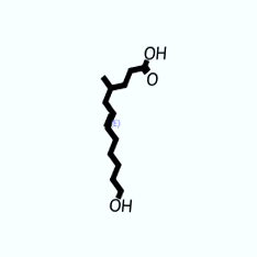 CC(C/C=C/CCCCCO)CCC(=O)O